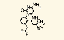 C=C(CCC)CC(N)c1c(CC(F)F)cccc1-n1ccc(N)nc1=O